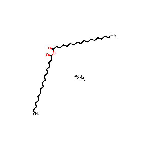 CCCCCCCCCCCCCCCCCC(=O)OC(=O)CCCCCCCCCCCCCCCCC.[MgH2].[MgH2]